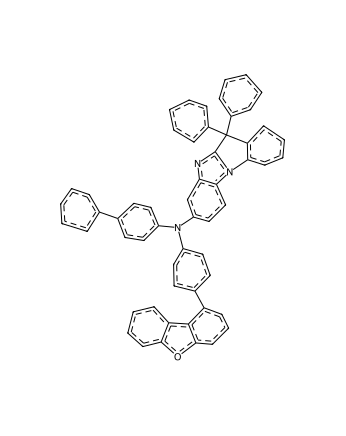 c1ccc(-c2ccc(N(c3ccc(-c4cccc5oc6ccccc6c45)cc3)c3ccc4c(c3)nc3n4-c4ccccc4C3(c3ccccc3)c3ccccc3)cc2)cc1